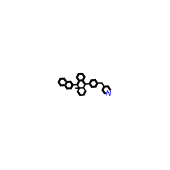 CC12C=CC=CC1C(c1ccc(Cc3ccncc3)cc1)=c1ccccc1=C2c1ccc2ccccc2c1